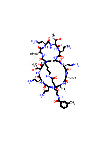 CCCCCCCC[C@H]1NC(=O)[C@H](CCN)NC(=O)C(NC(=O)[C@H](CCN)NC(=O)[C@@H](NC(=O)[C@H](CCN)NC(=O)[C@H](CCCCCC)NC(=O)CCCCCNC(=O)CCCCCNC(=O)c2cccc(C)c2)[C@@H](C)O)CCNC(=O)[C@H]([C@@H](C)O)NC(=O)[C@H](CCN)NC(=O)[C@H](CCN)NC(=O)[C@H](C)NC1=O